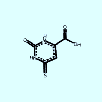 O=C(O)c1cc(=S)[nH]c(=O)[nH]1